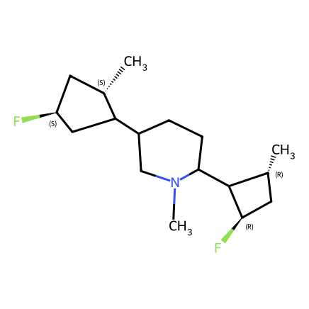 C[C@@H]1C[C@@H](F)C1C1CCC(C2C[C@@H](F)C[C@@H]2C)CN1C